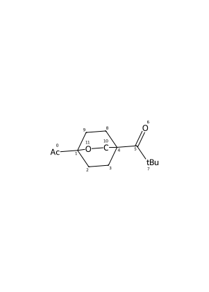 CC(=O)C12CCC(C(=O)C(C)(C)C)(CC1)CO2